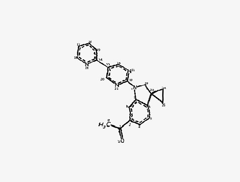 CC(=O)c1ccc2c(c1)N(c1ncc(-c3ccccn3)cn1)CC21CC1